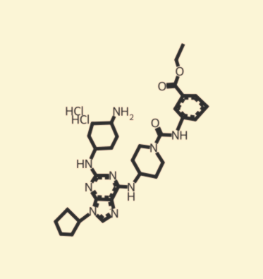 CCOC(=O)c1cccc(NC(=O)N2CCC(Nc3nc(NC4CCC(N)CC4)nc4c3ncn4C3CCCC3)CC2)c1.Cl.Cl